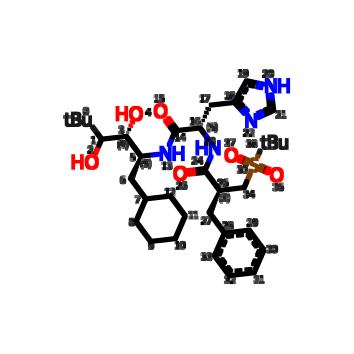 CC(C)(C)C(O)[C@H](O)[C@H](CC1CCCCC1)NC(=O)[C@H](Cc1c[nH]cn1)NC(=O)[C@H](Cc1ccccc1)CS(=O)(=O)C(C)(C)C